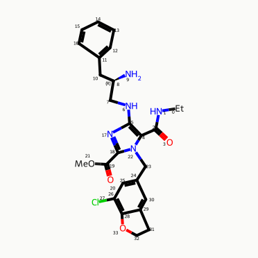 CCNC(=O)c1c(NC[C@H](N)Cc2ccccc2)nc(C(=O)OC)n1Cc1cc(Cl)c2c(c1)CCO2